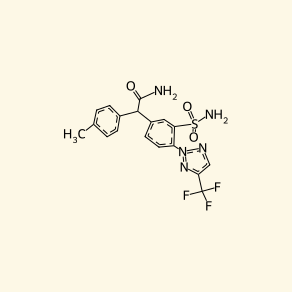 Cc1ccc(C(C(N)=O)c2ccc(-n3ncc(C(F)(F)F)n3)c(S(N)(=O)=O)c2)cc1